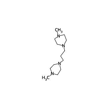 CN1CCN(CCCN2CCN(C)CC2)CC1